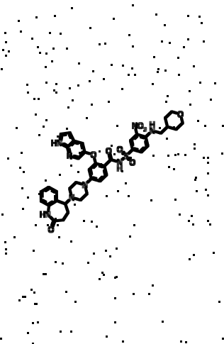 O=C1CCC(N2CCN(c3ccc(C(=O)NS(=O)(=O)c4ccc(NCC5CCOCC5)c([N+](=O)[O-])c4)c(Oc4cnc5[nH]ccc5c4)c3)CC2)c2ccccc2N1